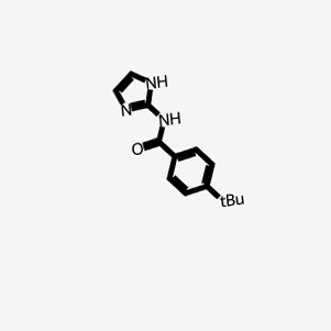 CC(C)(C)c1ccc(C(=O)Nc2ncc[nH]2)cc1